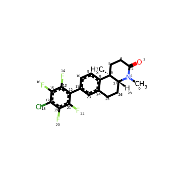 CN1C(=O)CC[C@]2(C)c3ccc(-c4c(F)c(F)c(Cl)c(F)c4F)cc3CC[C@@H]12